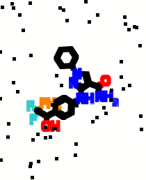 NC(=O)c1cn(C2CCCCC2)nc1Nc1ccc(C(O)C(F)(F)P)cc1